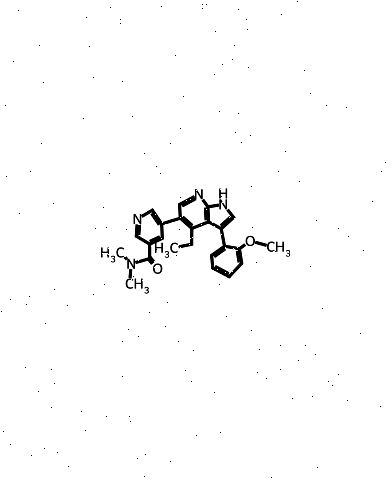 CCc1c(-c2cncc(C(=O)N(C)C)c2)cnc2[nH]cc(-c3ccccc3OC)c12